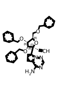 C#C[C@@]1(c2ccc3c(N)ncnn23)O[C@H](COCc2ccccc2)[C@@H](OCc2ccccc2)[C@H]1OCc1ccccc1